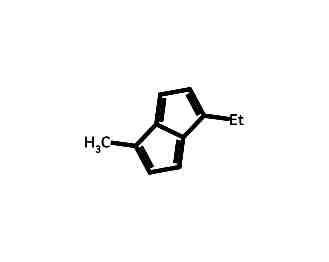 CCC1=CC=C2C(C)=CC=C12